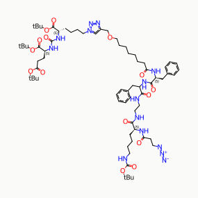 CC(C)(C)OC(=O)CC[C@H](NC(=O)N[C@@H](CCCCn1cc(COCCCCCCCC(=O)N[C@@H](Cc2ccccc2)C(=O)NC(Cc2ccccc2)C(=O)NCCNC(=O)[C@H](CCCCNC(=O)OC(C)(C)C)NC(=O)CCN=[N+]=[N-])nn1)C(=O)OC(C)(C)C)C(=O)OC(C)(C)C